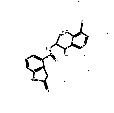 CCCC(NC(=O)c1cccc2c1CC(=O)N2)C(O)c1cccc(F)c1C